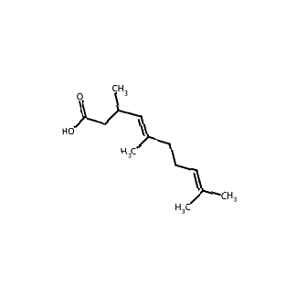 CC(C)=CCC/C(C)=C/C(C)CC(=O)O